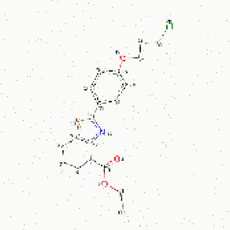 CCOC(=O)C1CCCc2sc(-c3ccc(OCCCCl)cc3)nc21